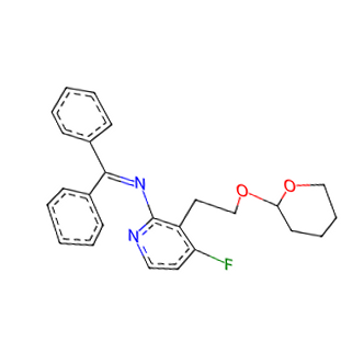 Fc1ccnc(N=C(c2ccccc2)c2ccccc2)c1CCOC1CCCCO1